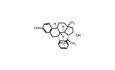 C=C(C)[C@@H]1[C@H]2[C@H]3[C@H](CC[C@]2(C)C[C@@H]1O)c1ccc(O)cc1C[C@H]3c1ccccc1